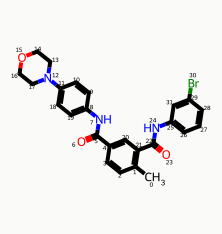 Cc1ccc(C(=O)Nc2ccc(N3CCOCC3)cc2)cc1C(=O)Nc1cccc(Br)c1